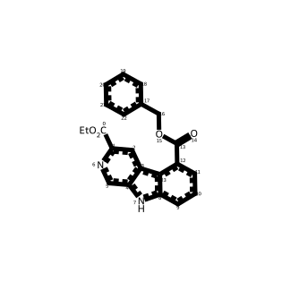 CCOC(=O)c1cc2c(cn1)[nH]c1cccc(C(=O)OCc3ccccc3)c12